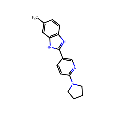 FC(F)(F)c1ccc2nc(-c3ccc(N4CCCC4)nc3)[nH]c2c1